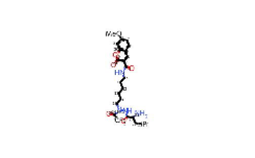 COc1ccc2cc(C(=O)NCCCCCCN(NC(=O)[C@@H](N)CC(C)C)C(=O)C(F)(F)F)c(=O)oc2c1